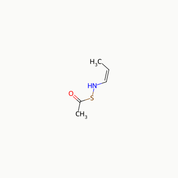 C/C=C\NSC(C)=O